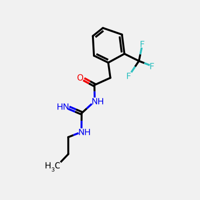 CCCNC(=N)NC(=O)Cc1ccccc1C(F)(F)F